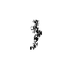 CC(C)CN1CCC(CCn2cc3c(n2)CCc2c-3sc3ncnc(Nc4ccc(OCc5cccc(F)c5)c(Cl)c4)c23)CC1